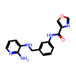 Nc1ncccc1NCc1cccc(NC(=O)c2cocn2)c1